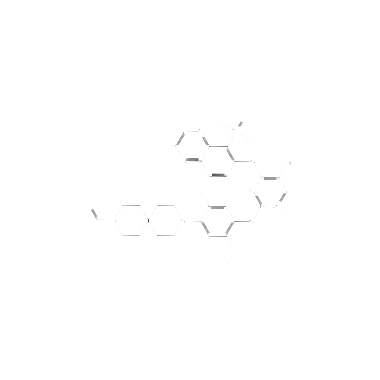 COc1cc(N2CCC3(CCN(C=O)CC3)CC2)c(C)cc1Nc1ncc(Br)c(Nc2ccc3nccnc3c2P(C)(C)=O)n1